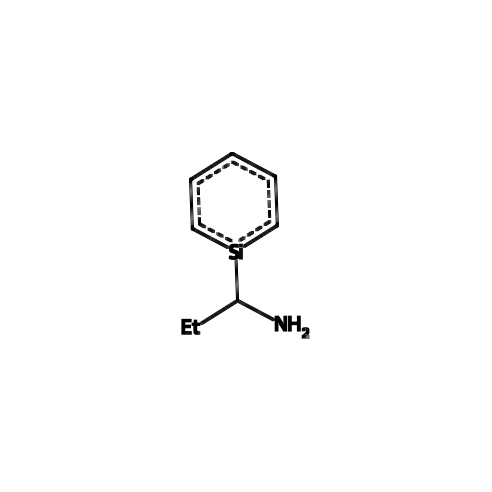 CCC(N)[si]1ccccc1